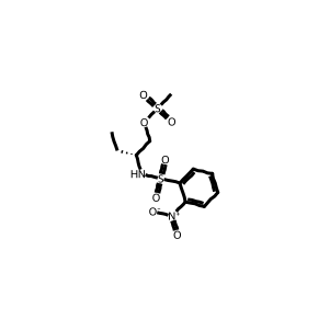 CC[C@H](COS(C)(=O)=O)NS(=O)(=O)c1ccccc1[N+](=O)[O-]